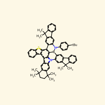 CC(C)(C)c1ccc(N2B3c4cc5c(cc4-n4c6cc7c(cc6c6c8c(sc9ccccc98)c(c3c64)-c3cc4c(cc32)-c2ccccc2C4(C)C)C(C)(C)CCC7(C)C)C(C)(C)c2ccccc2-5)cc1